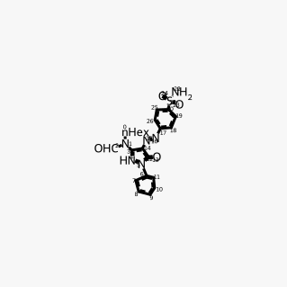 CCCCCCN(C=O)c1[nH]n(-c2ccccc2)c(=O)c1N=Nc1ccc(S(N)(=O)=O)cc1